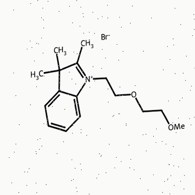 COCCOCC[N+]1=C(C)C(C)(C)c2ccccc21.[Br-]